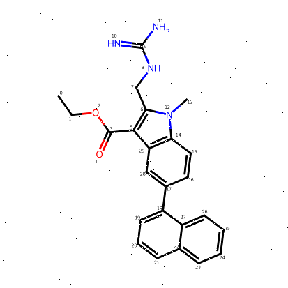 CCOC(=O)c1c(CNC(=N)N)n(C)c2ccc(-c3cccc4ccccc34)cc12